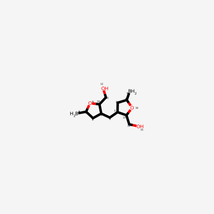 BC1CC(CC2CC(B)OC2CO)C(CO)O1